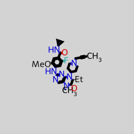 CC#CCN1CCC(N2c3nc(Nc4cc(F)c(C(=O)NC5CC5)cc4OC)ncc3N(C)C(=O)[C@H]2CC)CC1